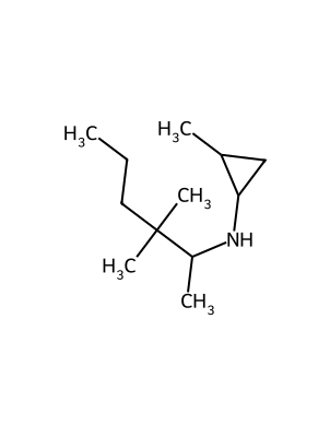 CCCC(C)(C)C(C)NC1CC1C